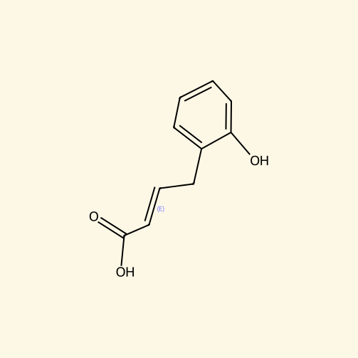 O=C(O)/C=C/Cc1ccccc1O